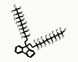 FC(F)(F)C(F)(F)C(F)(F)C(F)(F)C(F)(F)C(F)(F)C(F)(F)C(F)(F)CCC1(CCC(F)(F)C(F)(F)C(F)(F)C(F)(F)C(F)(F)C(F)(F)C(F)(F)C(F)(F)F)c2ccccc2-c2ccccc21